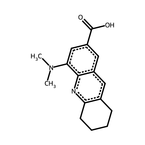 CN(C)c1cc(C(=O)O)cc2cc3c(nc12)CCCC3